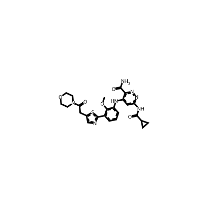 COc1c(Nc2cc(NC(=O)C3CC3)nnc2C(N)=O)cccc1-c1ncc(CC(=O)N2CCOCC2)s1